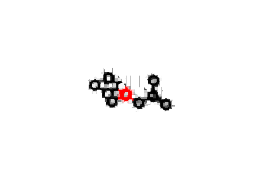 N=C(/C(=C1\NC(c2ccccc2)=Cc2cccc(-c3cccc(-c4cccc(-c5cc(-c6ccccc6)nc(-c6ccccc6)n5)c4)c3)c21)c1ccccc1)c1ccccc1